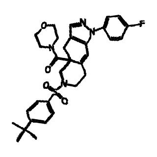 CC(C)(C)c1ccc(S(=O)(=O)N2CCC3=Cc4c(cnn4-c4ccc(F)cc4)CC3(C(=O)N3CCOCC3)C2)cc1